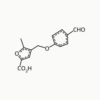 Cc1oc(C(=O)O)cc1COc1ccc(C=O)cc1